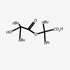 CCCCC(O)(CCCC)C(=O)OC(CCC)(CCCC)C(=O)O